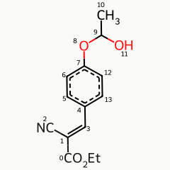 CCOC(=O)C(C#N)=Cc1ccc(OC(C)O)cc1